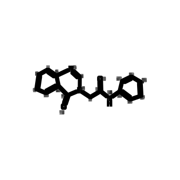 O=C(Cn1cnc2ccccc2c1=O)Nc1cc[c]cc1